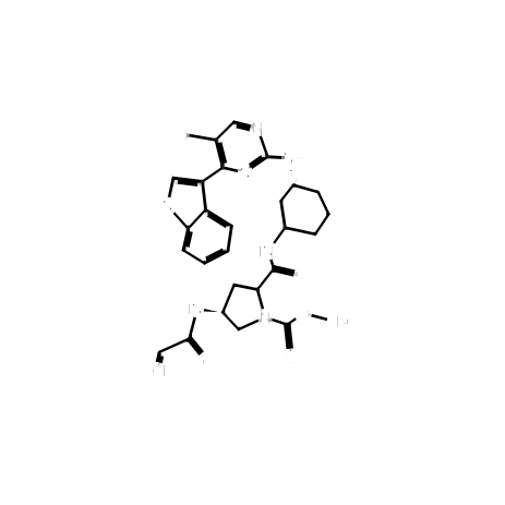 C=CC(=O)N[C@H]1CC(C(=O)NC2CCC[C@@H](Nc3ncc(Cl)c(-c4c[nH]c5ccccc45)n3)C2)N(C(=O)OC(C)(C)C)C1